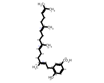 CC(C)=CCC/C(C)=C/CC/C(C)=C/CC/C(C)=C/Cc1cc(C(=O)O)ccc1O